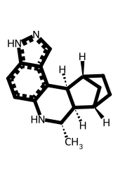 C[C@@H]1Nc2ccc3[nH]ncc3c2[C@H]2[C@@H]3CC[C@@H](C3)[C@H]21